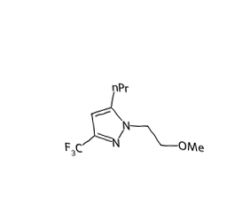 CCCc1cc(C(F)(F)F)nn1CCOC